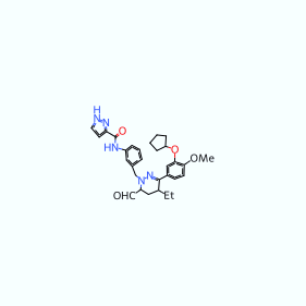 CCC1CC(C=O)N(Cc2cccc(NC(=O)c3cc[nH]n3)c2)N=C1c1ccc(OC)c(OC2CCCC2)c1